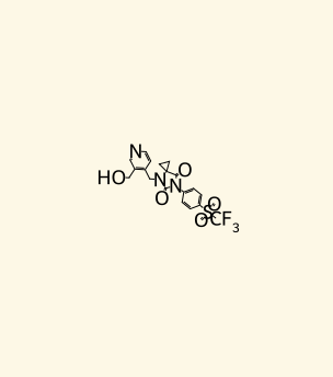 O=C1N(c2ccc(S(=O)(=O)C(F)(F)F)cc2)C(=O)C2(CC2)N1Cc1ccncc1CO